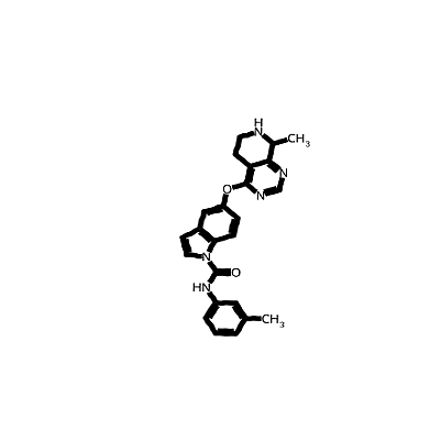 Cc1cccc(NC(=O)n2ccc3cc(Oc4ncnc5c4CCNC5C)ccc32)c1